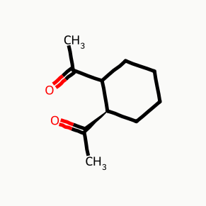 CC(=O)C1CCCC[C@H]1C(C)=O